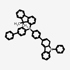 CC1(C)c2ccccc2-c2cccc(N(c3ccc(C4=CCC5C(=C4)c4ccccc4N5c4ccccc4)cc3)c3ccc(-c4ccccc4)cc3)c21